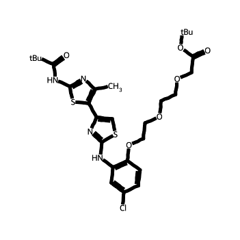 Cc1nc(NC(=O)C(C)(C)C)sc1-c1csc(Nc2cc(Cl)ccc2OCCOCCOCC(=O)OC(C)(C)C)n1